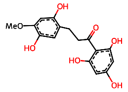 COc1cc(O)c(CCC(=O)c2c(O)cc(O)cc2O)cc1O